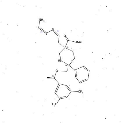 COC(=O)[C@@]1(C/C=N\N=C/N)CC[C@@](CO[C@H](C)c2cc(C(F)(F)F)cc(C(F)(F)F)c2)(c2ccccc2)NC1